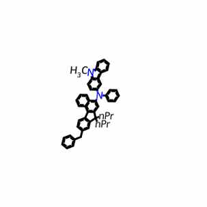 CCCC1(CCC)c2cc(Cc3ccccc3)ccc2-c2c1cc(N(c1ccccc1)c1ccc3c(c1)c1ccccc1n3C)c1ccccc21